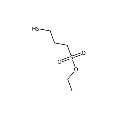 CCOS(=O)(=O)CCCS